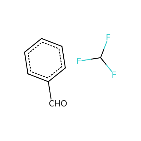 FC(F)F.O=Cc1ccccc1